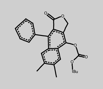 Cc1cc2c(OC(=O)OC(C)(C)C)c3c(c(-c4ccccc4)c2cc1C)C(=O)OC3